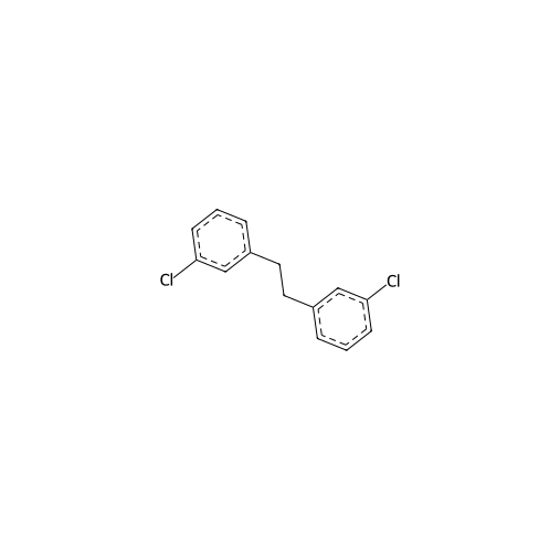 Clc1cccc(CCc2cccc(Cl)c2)c1